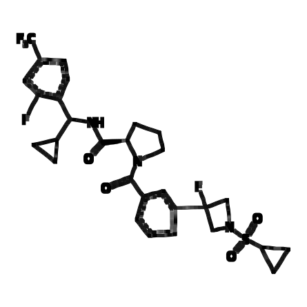 O=C(NC(c1ccc(C(F)(F)F)cc1F)C1CC1)[C@H]1CCCN1C(=O)c1cccc(C2(F)CN(S(=O)(=O)C3CC3)C2)c1